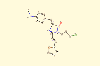 CN(C)c1ccc(/C=C2N=C(/C=C/c3cccs3)N(CCCCl)C\2=O)cc1